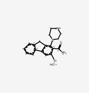 CCc1cc2c(c(N3CCNCC3)c1C(N)=O)Cc1ccccc1-2.Cl